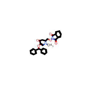 CN1C=C(OC(c2ccccc2)c2ccccc2)C(=O)CC1CON1C(=O)c2ccccc2C1=O